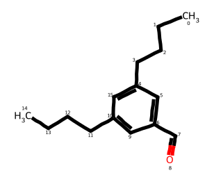 CCCCc1cc(C=O)cc(CCCC)c1